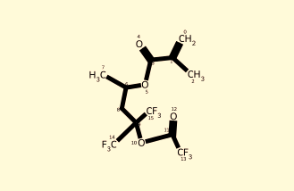 C=C(C)C(=O)OC(C)CC(OC(=O)C(F)(F)F)(C(F)(F)F)C(F)(F)F